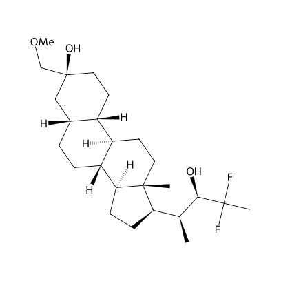 COC[C@]1(O)CC[C@H]2[C@H](CC[C@@H]3[C@@H]2CC[C@]2(C)[C@@H]([C@H](C)[C@@H](O)C(C)(F)F)CC[C@@H]32)C1